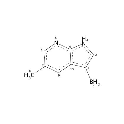 Bc1c[nH]c2ncc(C)cc12